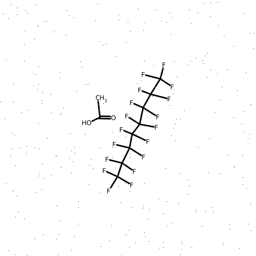 CC(=O)O.FC(F)(F)C(F)(F)C(F)(F)C(F)(F)C(F)(F)C(F)(F)C(F)(F)C(F)(F)F